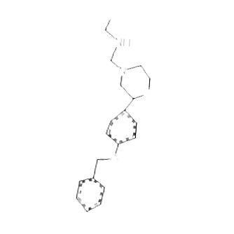 CCNCN1CCOC(c2ccc(OCc3ccccc3)cc2)C1